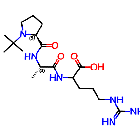 C[C@H](NC(=O)[C@@H]1CCCN1C(C)(C)C)C(=O)NC(CCCNC(=N)N)C(=O)O